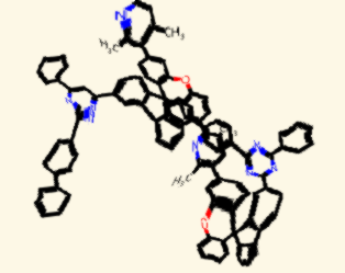 Cc1cc(-c2ccc3c(c2)Oc2ccccc2C32c3ccccc3-c3ccc(-c4nc(-c5ccccc5)nc(-c5ccc(-c6ccccc6)cc5)n4)cc32)c(C)nc1-c1ccc2c(c1)C1(c3ccc(-c4c(C)ccnc4C)cc3O2)c2ccccc2-c2cc(-c3cc(-c4ccccc4)nc(-c4ccc(-c5ccccc5)cc4)n3)ccc21